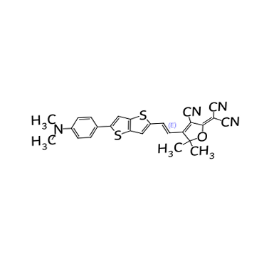 CN(C)c1ccc(-c2cc3sc(/C=C/C4=C(C#N)C(=C(C#N)C#N)OC4(C)C)cc3s2)cc1